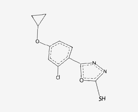 Sc1nnc(-c2ccc(OC3CC3)cc2Cl)o1